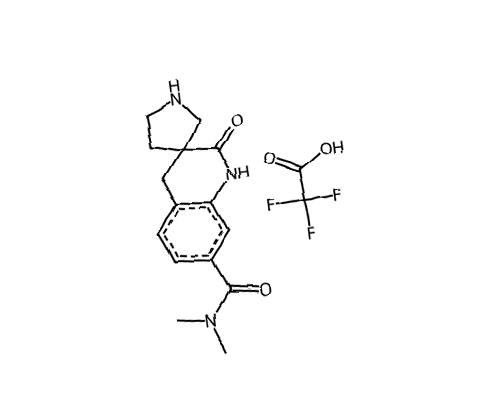 CN(C)C(=O)c1ccc2c(c1)NC(=O)C1(CCNC1)C2.O=C(O)C(F)(F)F